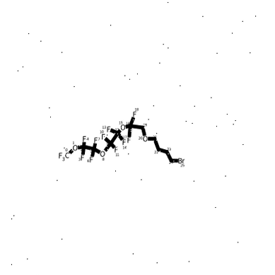 FC(F)(F)OC(F)(F)C(F)(F)OC(F)(F)C(F)(F)OC(F)(F)COCCCCBr